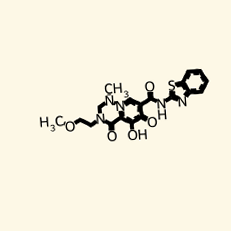 COCCN1CN(C)n2cc(C(=O)Nc3nc4ccccc4s3)c(=O)c(O)c2C1=O